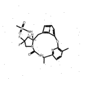 Cc1ccc2nc1Oc1cccc(c1F)C[C@H]1[C@@H](NS(C)(=O)=O)C(F)(F)CN1C(=O)NC2C